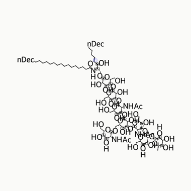 CCCCCCCCCCCCC/C=C/[C@@H](O)[C@H](CO[C@@H]1OC(CO)[C@@H](O[C@@H]2OC(CO)[C@H](O)[C@H](O[C@@H]3OC(CO)[C@@H](O)[C@H](O[C@@H]4OC(CO[C@@H]5OC(CO)[C@@H](O)[C@H](O)C5NC(C)=O)[C@H](O)[C@H](O[C@@H]5OC(CO)[C@@H](O)[C@H](O[C@@H]6OC(CO)[C@H](O)[C@H](O)C6O[C@H]6OC(C)[C@@H](O)C(O)[C@@H]6O)C5NC(C)=O)C4O)C3NC(C)=O)C2O)[C@H](O)C1O)NC(=O)CCCCCCCCCCCCCCCCCCCCCCCCC